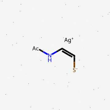 CC(=O)N/C=C\[S-].[Ag+]